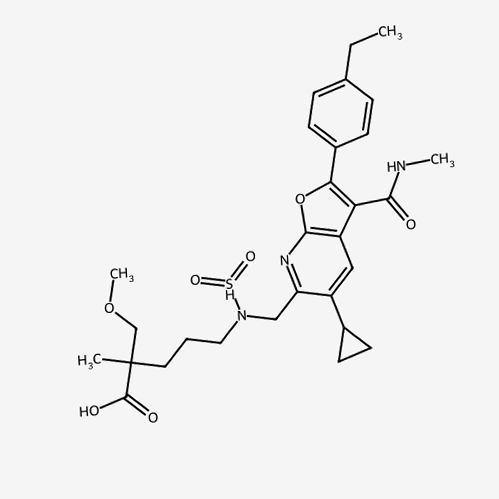 CCc1ccc(-c2oc3nc(CN(CCCC(C)(COC)C(=O)O)[SH](=O)=O)c(C4CC4)cc3c2C(=O)NC)cc1